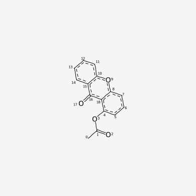 CC(=O)Oc1cccc2oc3ccccc3c(=O)c12